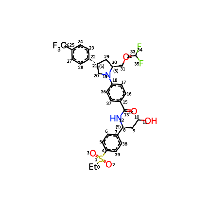 CCS(=O)(=O)c1ccc([C@H](CCO)NC(=O)c2ccc(N3C[C@H](c4ccc(C(F)(F)F)cc4)C[C@H]3COC(F)F)cc2)cc1